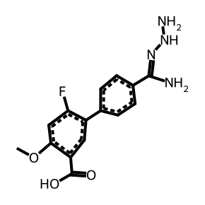 COc1cc(F)c(-c2ccc(/C(N)=N/NN)cc2)cc1C(=O)O